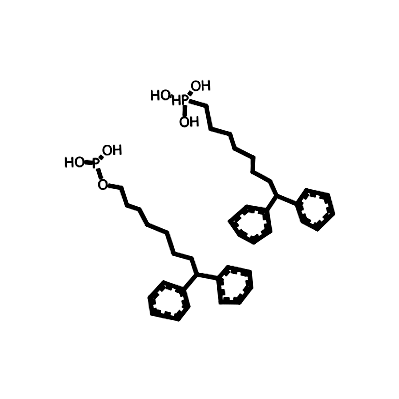 OP(O)OCCCCCCCC(c1ccccc1)c1ccccc1.O[PH](O)(O)CCCCCCCC(c1ccccc1)c1ccccc1